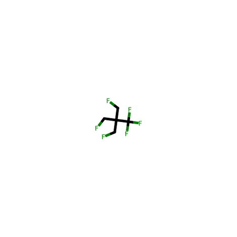 FCC(CF)(CF)C(F)(F)F